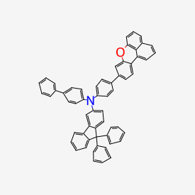 c1ccc(-c2ccc(N(c3ccc(-c4ccc5c(c4)Oc4cccc6cccc-5c46)cc3)c3ccc4c(c3)-c3ccccc3C4(c3ccccc3)c3ccccc3)cc2)cc1